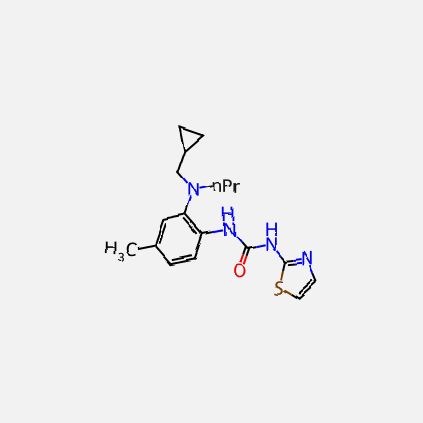 CCCN(CC1CC1)c1cc(C)ccc1NC(=O)Nc1nccs1